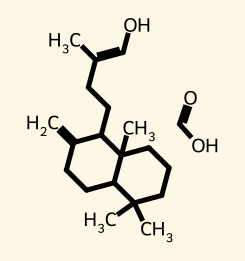 C=C1CCC2C(C)(C)CCCC2(C)C1CCC(C)=CO.O=CO